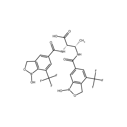 C[C@H](NC(=O)c1cc2c(c(C(F)(F)F)c1)COB2O)[C@H](NC(=O)c1cc2c(c(C(F)(F)F)c1)B(O)OC2)C(=O)O